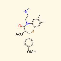 COc1ccc(C2Sc3cc(C)c(C)cc3N(CCN(C)C)C(=O)C2OC(C)=O)cc1